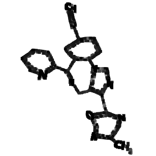 C#Cc1ccc2c(c1)C(c1ccccn1)=NCc1c(-c3nc(C)no3)ncn1-2